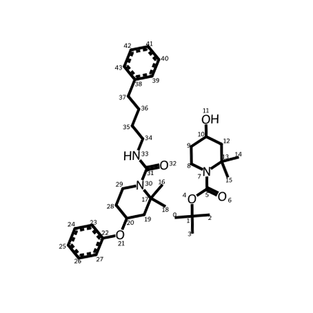 CC(C)(C)OC(=O)N1CCC(O)CC1(C)C.CC1(C)CC(Oc2ccccc2)CCN1C(=O)NCCCCc1ccccc1